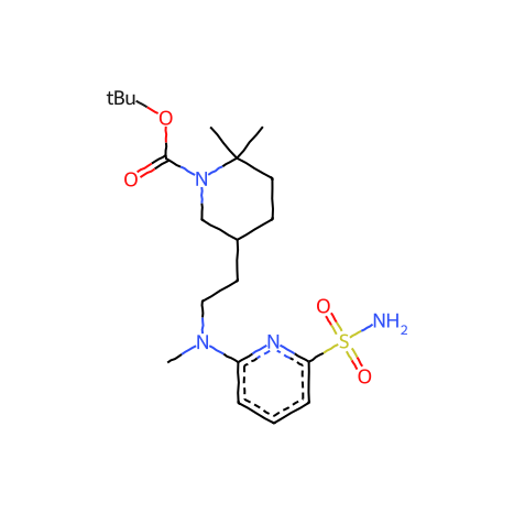 CN(CCC1CCC(C)(C)N(C(=O)OC(C)(C)C)C1)c1cccc(S(N)(=O)=O)n1